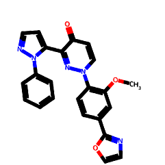 COc1cc(-c2ncco2)ccc1-n1ccc(=O)c(-c2ccnn2-c2ccccc2)n1